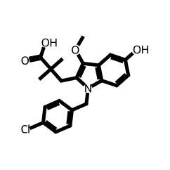 COc1c(CC(C)(C)C(=O)O)n(Cc2ccc(Cl)cc2)c2ccc(O)cc12